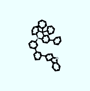 c1ccc(-c2ccc3c(c2)C(c2ccccc2)(c2ccccc2)c2ccccc2N3c2cccc(-c3cccc(-c4ccc5oc6ccccc6c5c4)c3)c2)cc1